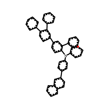 c1ccc(-c2ccc(-c3ccc(N(c4ccccc4)c4ccc(-c5ccc6ccccc6c5)cc4)c(-c4ccccc4)c3)cc2-c2ccccc2)cc1